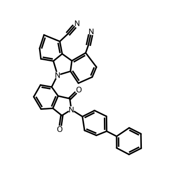 N#Cc1cccc2c1c1c(C#N)cccc1n2-c1cccc2c1C(=O)N(c1ccc(-c3ccccc3)cc1)C2=O